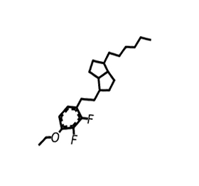 CCCCCCC1CCC2C(CCc3ccc(OCC)c(F)c3F)CCC12